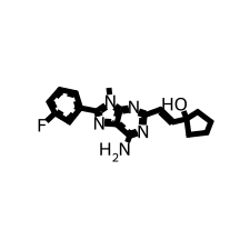 Cn1c(-c2cccc(F)c2)nc2c(N)nc(C=CC3(O)CCCC3)nc21